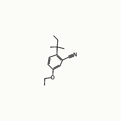 CCOc1ccc(C(C)(C)CC)c(C#N)c1